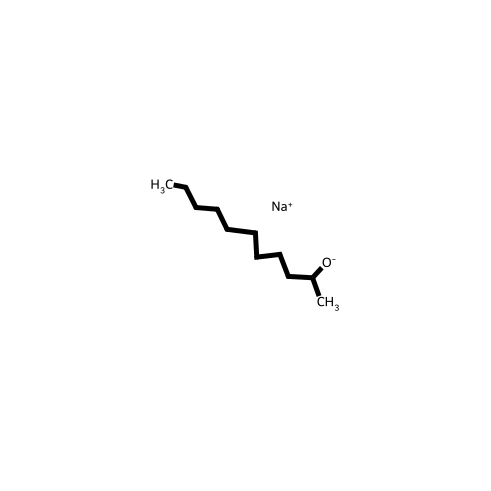 CCCCCCCCCC(C)[O-].[Na+]